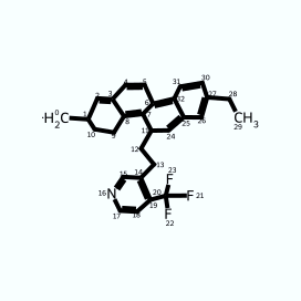 [CH2]C1C=c2ccc3c(c2CC1)C(CCc1cnccc1C(F)(F)F)C=c1cc(CC)ccc1=3